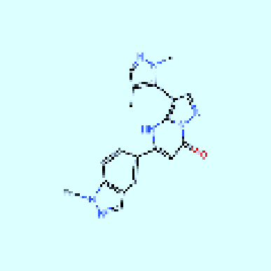 CCn1ncc2cc(-c3cc(=O)n4ncc(-c5c(C)cnn5C)c4[nH]3)ccc21